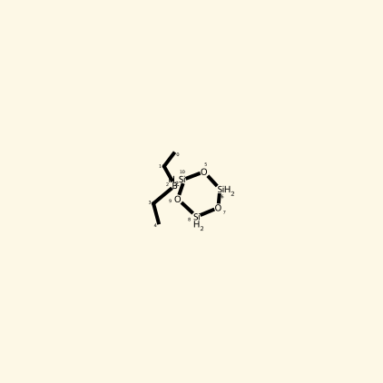 CC[B]CC.O1[SiH2]O[SiH2]O[SiH2]1